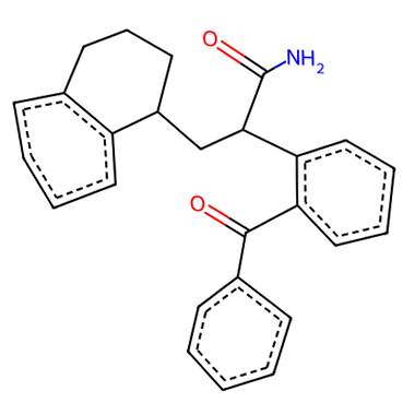 NC(=O)C(CC1CCCc2ccccc21)c1ccccc1C(=O)c1ccccc1